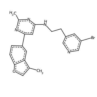 Cc1nc(NCCc2cncc(Br)c2)cc(-c2ccc3occ(C)c3c2)n1